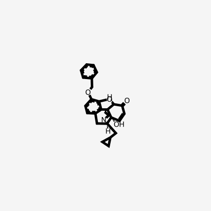 O=C1C=C[C@@]2(O)[C@H]3Cc4ccc(OCc5ccccc5)c5c4[C@@]2(CCN3CC2CC2)[C@H]1O5